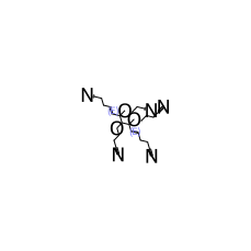 N#CCC/C=C/C(OCCC#N)C(OCCC#N)C(/C=C/CCC#N)OCCCC#N